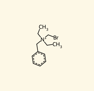 CC[N+](CC)(CBr)Cc1ccccc1